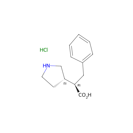 Cl.O=C(O)[C@H](Cc1ccccc1)[C@@H]1CCNC1